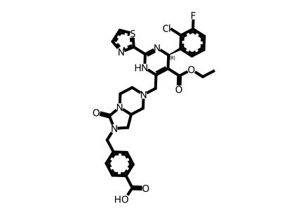 CCOC(=O)C1=C(CN2CCN3C(=O)N(Cc4ccc(C(=O)O)cc4)CC3C2)NC(c2nccs2)=N[C@H]1c1cccc(F)c1Cl